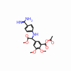 COC(=O)C(Nc1ccc(C(=N)N)cc1)c1cc(OC)c(OC)c(C(=O)OC(C)=O)c1